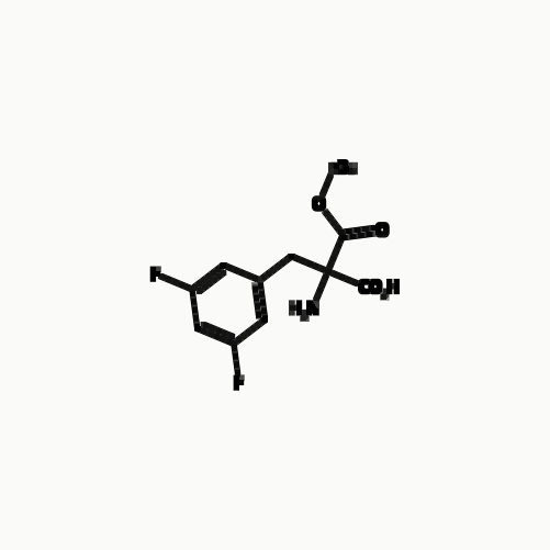 CCCCOC(=O)C(N)(Cc1cc(F)cc(F)c1)C(=O)O